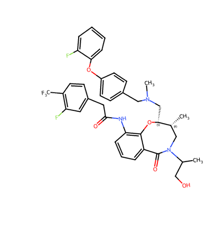 CC(CO)N1C[C@@H](C)[C@@H](CN(C)Cc2ccc(Oc3ccccc3F)cc2)Oc2c(NC(=O)Cc3ccc(C(F)(F)F)c(F)c3)cccc2C1=O